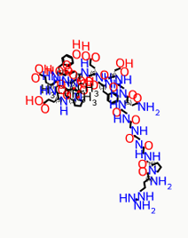 CC[C@H](C)[C@H](NC(=O)[C@H](CCC(=O)O)NC(=O)[C@H](CCC(=O)O)NC(=O)[C@H](Cc1ccccc1)NC(=O)[C@H](CC(=O)O)NC(=O)CNC(=O)[C@H](CC(N)=O)NC(=O)CNC(=O)CNC(=O)CNC(=O)CNC(=O)[C@@H]1CCCN1C(=O)[C@@H](N)CCCNC(=N)N)C(=O)N1CCC[C@H]1C(=O)N[C@@H](CCC(=O)O)C(=O)N[C@@H](CCC(=O)O)C(=O)N[C@@H](Cc1ccc(O)cc1)C(=O)N[C@@H](CC(C)C)C(=O)O